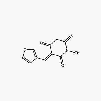 CCN1C(=O)/C(=C/c2ccoc2)C(=O)CC1=S